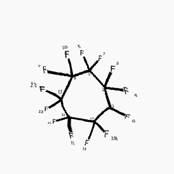 F[C]1C(F)(F)C(F)(F)C(F)(F)C(F)(F)C(F)(F)C1(F)F